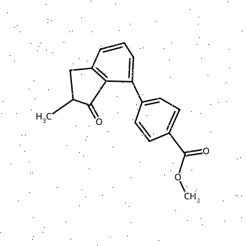 COC(=O)c1ccc(-c2cccc3c2C(=O)C(C)C3)cc1